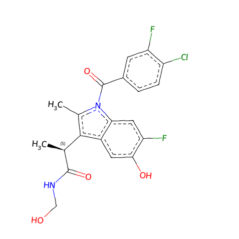 Cc1c([C@H](C)C(=O)NCO)c2cc(O)c(F)cc2n1C(=O)c1ccc(Cl)c(F)c1